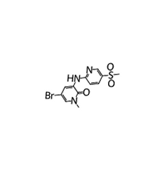 Cn1cc(Br)cc(Nc2ccc(S(C)(=O)=O)cn2)c1=O